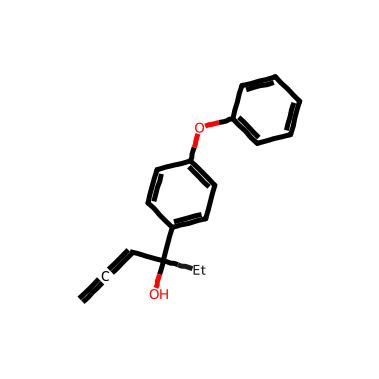 C=C=CC(O)(CC)c1ccc(Oc2ccccc2)cc1